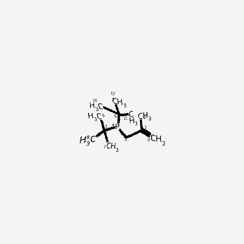 C=C(C)CP(C(C)(C)C)C(C)(C)C